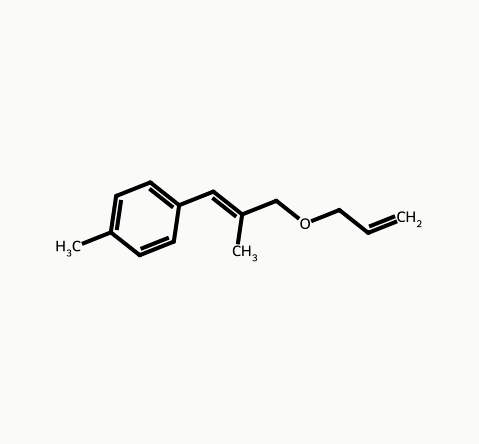 C=CCOC/C(C)=C/c1ccc(C)cc1